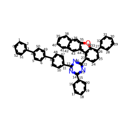 c1ccc(-c2ccc(-c3ccc(-c4nc(-c5ccccc5)nc(-c5ccc(-c6ccccc6)c6oc7cc8ccccc8cc7c56)n4)cc3)cc2)cc1